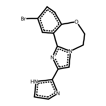 Brc1ccc2c(c1)-c1nc(-c3ncc[nH]3)cn1CCO2